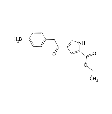 Bc1ccc(CC(=O)c2c[nH]c(C(=O)OCC)c2)cc1